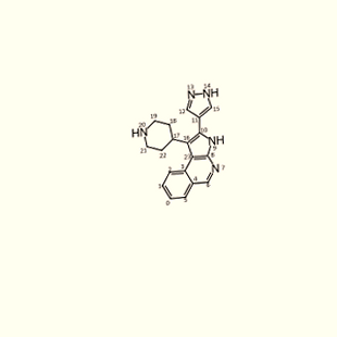 c1ccc2c(c1)cnc1[nH]c(-c3cn[nH]c3)c(C3CCNCC3)c12